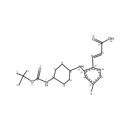 CC(C)(C)OC(=O)NC1CCC(Nc2cc(F)cnc2/C=C/C(=O)O)CC1